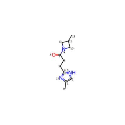 Cc1c[nH]c(CCC(=O)N2CC(C)C2)n1